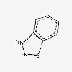 c1ccc2c(c1)N[N]S2